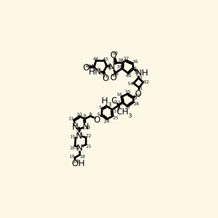 CC(C)(c1ccc(OCc2ccnc(N3CCN(CCO)CC3)n2)cc1)c1ccc(OC2CC(Nc3ccc4c(c3)C(=O)N(C3CCC(=O)NC3=O)C4=O)C2)cc1